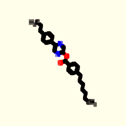 CCCCCCCc1ccc(C(=O)Oc2cnc(-c3ccc(CCC)cc3)cn2)cc1